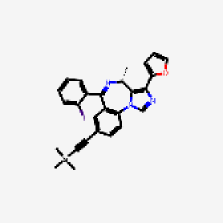 C[C@H]1N=C(c2ccccc2I)c2cc(C#C[Si](C)(C)C)ccc2-n2cnc(-c3ccco3)c21